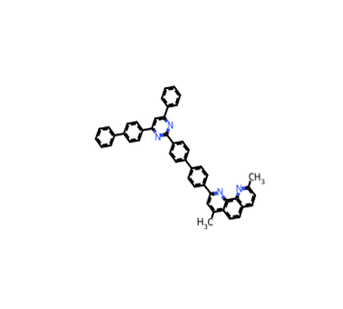 Cc1ccc2ccc3c(C)cc(-c4ccc(-c5ccc(-c6nc(-c7ccccc7)cc(-c7ccc(-c8ccccc8)cc7)n6)cc5)cc4)nc3c2n1